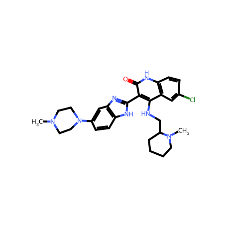 CN1CCN(c2ccc3[nH]c(-c4c(NCC5CCCCN5C)c5cc(Cl)ccc5[nH]c4=O)nc3c2)CC1